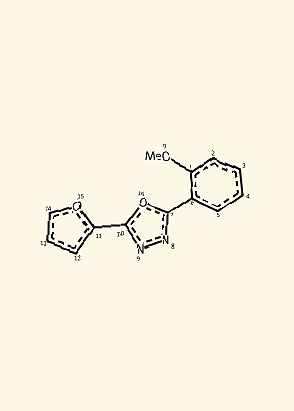 COc1ccccc1-c1nnc(-c2ccco2)o1